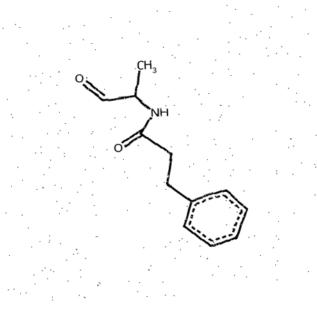 CC(C=O)NC(=O)CCc1ccccc1